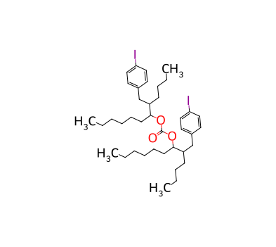 CCCCCCC(OC(=O)OC(CCCCCC)C(CCCC)Cc1ccc(I)cc1)C(CCCC)Cc1ccc(I)cc1